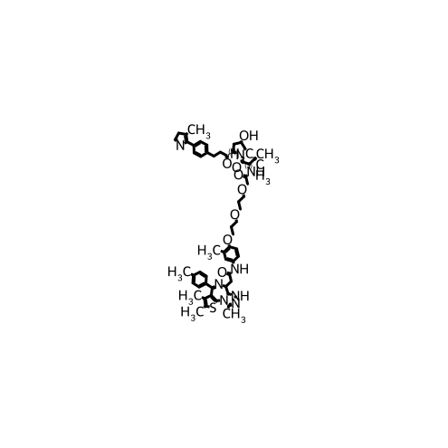 CC1=NNC2C(CC(=O)Nc3ccc(OCCCOCCCOCC(=O)N[C@H](C(=O)N4CC(O)C[C@H]4C(=O)CCc4ccc(C5=C(C)CC=N5)cc4)C(C)(C)C)c(C)c3)N=C(c3ccc(C)cc3)c3c(sc(C)c3C)N12